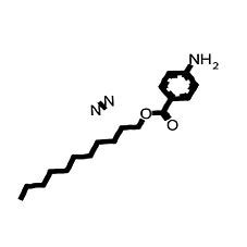 CCCCCCCCCCCOC(=O)c1ccc(N)cc1.N#N